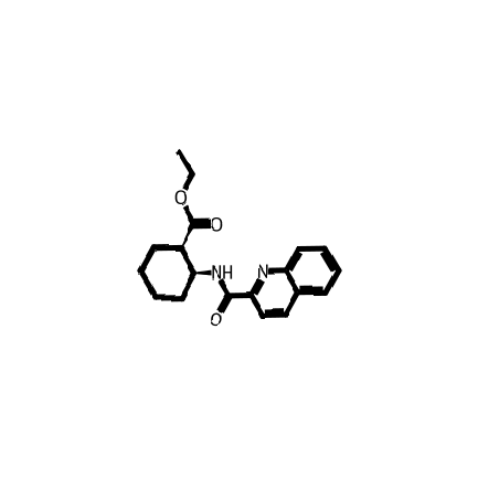 CCOC(=O)[C@@H]1CCCC[C@@H]1NC(=O)c1ccc2ccccc2n1